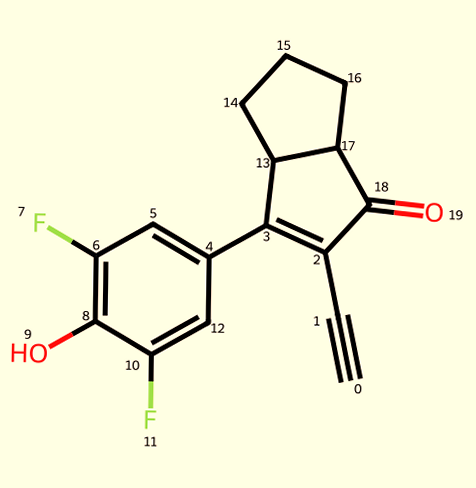 C#CC1=C(c2cc(F)c(O)c(F)c2)C2CCCC2C1=O